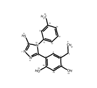 CCc1cc(-c2nnc(S)n2-c2cccc(C)c2)c(O)cc1O